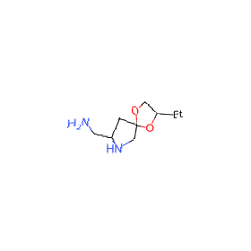 CCC1COC2(CNC(CN)C2)O1